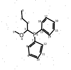 CCCC(OC)P(c1ccccc1)c1ccccc1